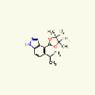 CC(C)c1ccc2[nH]ncc2c1B1OC(C)(C)C(C)(C)O1